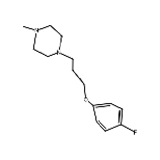 CN1CCN(CCCOc2ccc(F)cc2)CC1